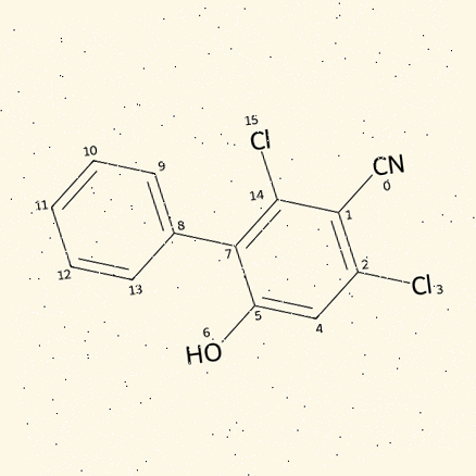 N#Cc1c(Cl)cc(O)c(-c2ccccc2)c1Cl